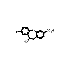 O=C(O)c1ccc2c(c1)Sc1ccc(F)cc1C(O)C2